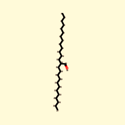 CCCCCCCCCCCCCC(C=O)CCCCCCCCCCCC